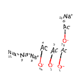 CC(=O)[O-].CC(=O)[O-].CC(=O)[O-].CC(=O)[O-].[Na+].[Na+].[Na+].[Na+]